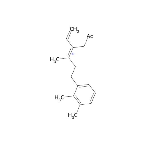 C=C/C(CC(C)=O)=C(\C)CCc1cccc(C)c1C